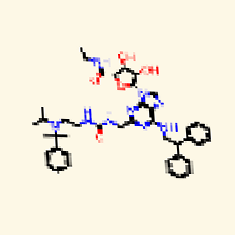 CCNC(=O)[C@H]1O[C@@H](n2cnc3c(NCC(c4ccccc4)c4ccccc4)nc(CNC(=O)NCCN(C(C)C)C(C)(C)c4ccccc4)nc32)[C@H](O)[C@@H]1O